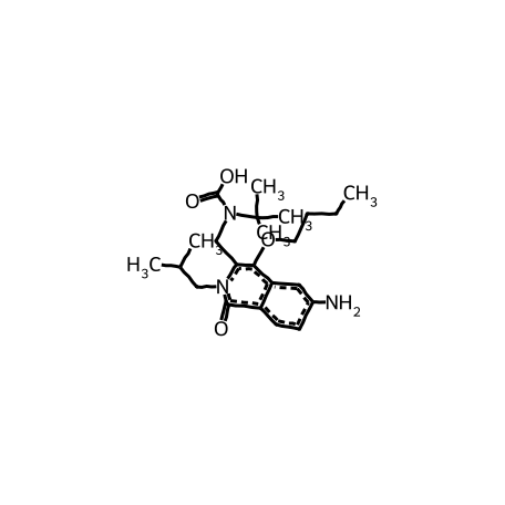 CCCCOc1c(CN(C(=O)O)C(C)(C)C)n(CC(C)C)c(=O)c2ccc(N)cc12